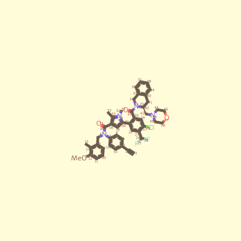 C#Cc1ccc(N(Cc2cccc(OC)c2C)C(=O)c2cc(-c3cc(C(F)F)c(Cl)cc3C(=O)N3Cc4ccccc4C[C@H]3CN3CCOCC3)n(C)c2C)cc1